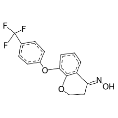 ON=C1CCOc2c(Oc3ccc(C(F)(F)F)cc3)cccc21